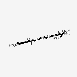 N[C@H](C(=O)O)C(C[C]=O)C(=O)CCOCCOCCOCCOCCNC(=O)CCCCCCC(=O)O